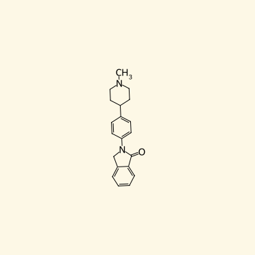 CN1CCC(c2ccc(N3Cc4ccccc4C3=O)cc2)CC1